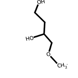 [CH2]OCC(O)CCO